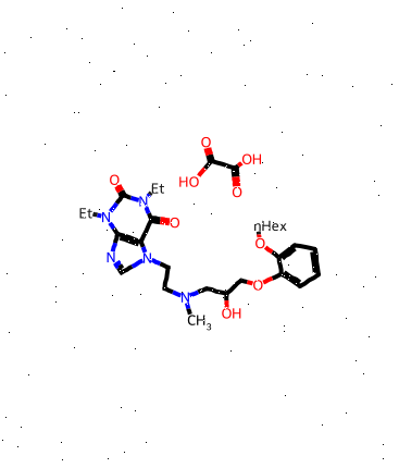 CCCCCCOc1ccccc1OCC(O)CN(C)CCn1cnc2c1c(=O)n(CC)c(=O)n2CC.O=C(O)C(=O)O